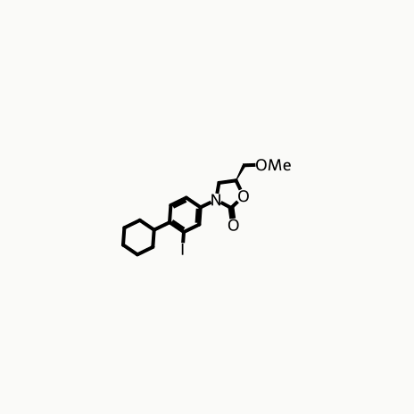 COC[C@@H]1CN(c2ccc(C3CCCCC3)c(I)c2)C(=O)O1